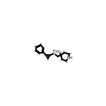 CCC1(CNC2CC2c2ccccc2)CCNCC1